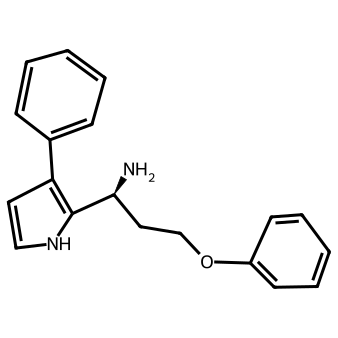 N[C@@H](CCOc1ccccc1)c1[nH]ccc1-c1ccccc1